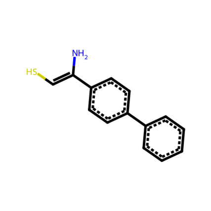 N/C(=C\S)c1ccc(-c2ccccc2)cc1